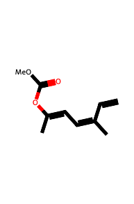 C=C/C(C)=C\C=C(/C)OC(=O)OC